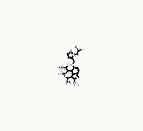 Cc1oc2ccc(OCc3ccnn3CC(F)F)c(C(CO)C(N)=O)c2c1C(N)=O